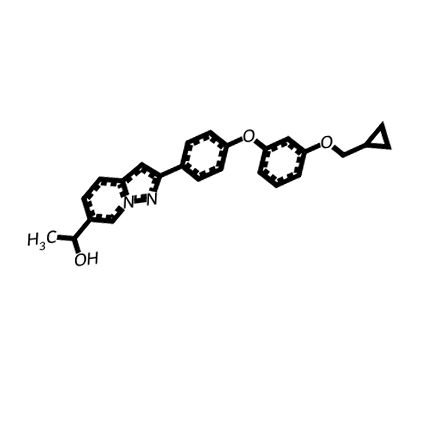 CC(O)c1ccc2cc(-c3ccc(Oc4cccc(OCC5CC5)c4)cc3)nn2c1